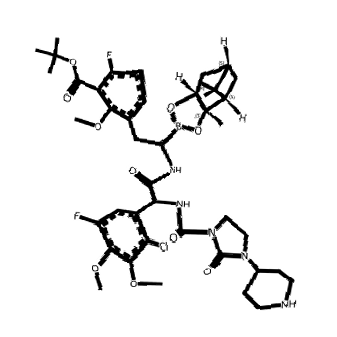 COc1c(F)cc(C(NC(=O)N2CCN(C3CCNCC3)C2=O)C(=O)NC(Cc2ccc(F)c(C(=O)OC(C)(C)C)c2OC)B2O[C@@H]3C[C@@H]4C[C@@H](C4(C)C)[C@]3(C)O2)c(Cl)c1OC